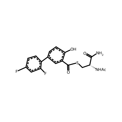 CC(=O)N[C@H](CSC(=O)c1cc(-c2ccc(F)cc2F)ccc1O)C(N)=O